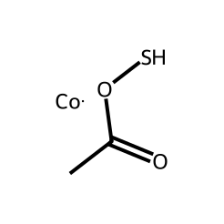 CC(=O)OS.[Co]